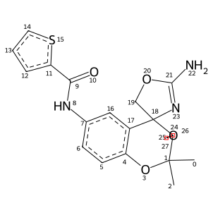 CC1(C)Oc2ccc(NC(=O)c3cccs3)cc2C2(COC(N)=N2)C12COC2